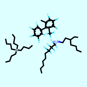 CCCCCCC(F)(F)C(F)(F)C(F)(F)[NH2+]CCC(CC)CCCC.CCC[CH2][Al-]([CH2]CCC)([CH2]CCC)[CH2]CCC.Cc1c(F)c(F)c(F)c(C(F)(F)F)c1-c1c(F)c(F)c(F)c(F)c1F